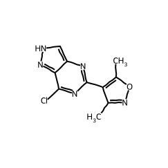 Cc1noc(C)c1-c1nc(Cl)c2n[nH]cc2n1